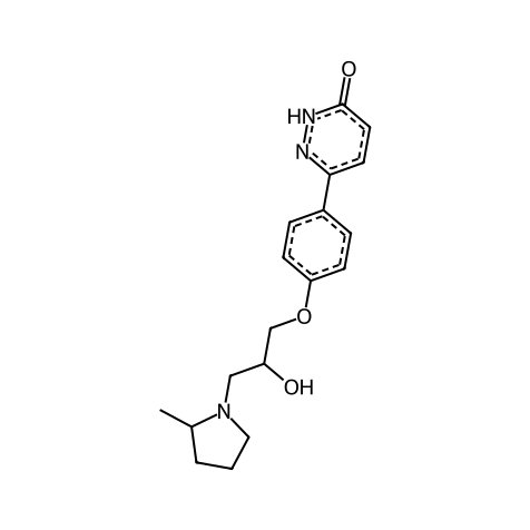 CC1CCCN1CC(O)COc1ccc(-c2ccc(=O)[nH]n2)cc1